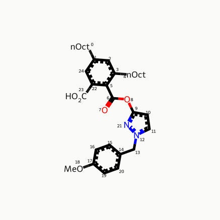 CCCCCCCCc1cc(CCCCCCCC)c(C(=O)Oc2ccn(Cc3ccc(OC)cc3)n2)c(C(=O)O)c1